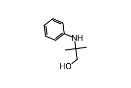 CC(C)(CO)Nc1ccccc1